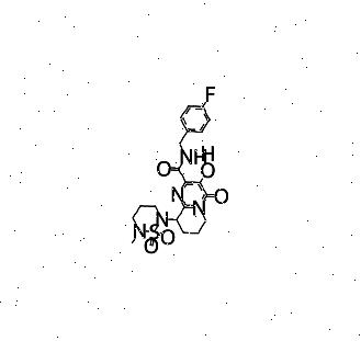 CN1CCCN(C2CCCn3c2nc(C(=O)NCc2ccc(F)cc2)c(O)c3=O)S1(=O)=O